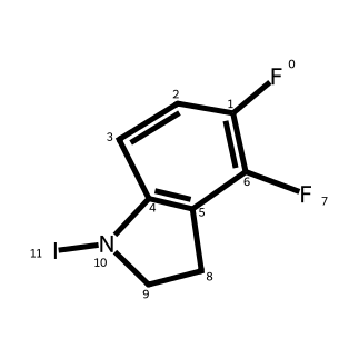 Fc1ccc2c(c1F)CCN2I